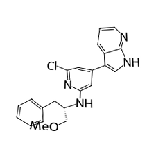 COC[C@H](Cc1ccccc1)Nc1cc(-c2c[nH]c3ncccc23)cc(Cl)n1